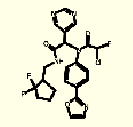 O=C(NCC1CCCC1(F)F)C(c1cncnc1)N(C(=O)C(F)Cl)c1ccc(-c2ncco2)cc1